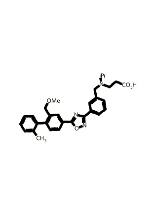 COCc1cc(-c2nc(-c3cccc(CN(CCC(=O)O)C(C)C)c3)no2)ccc1-c1ccccc1C